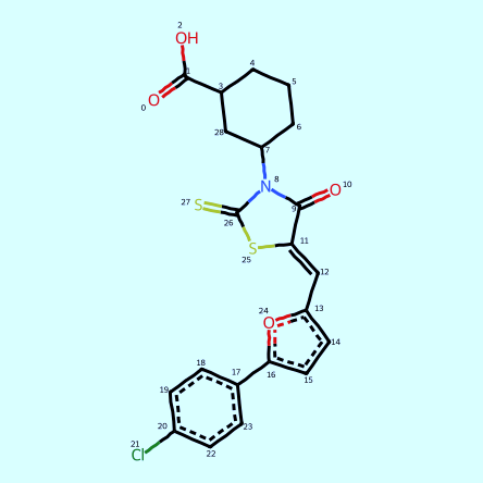 O=C(O)C1CCCC(N2C(=O)C(=Cc3ccc(-c4ccc(Cl)cc4)o3)SC2=S)C1